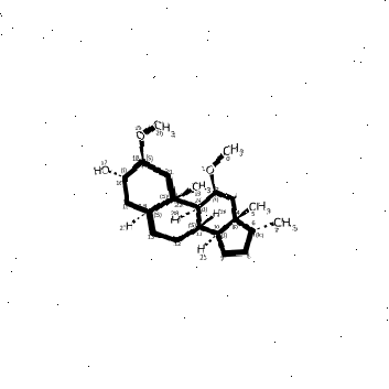 CO[C@H]1C[C@]2(C)[C@H](C)CC[C@H]2[C@@H]2CC[C@H]3C[C@H](O)[C@@H](OC)C[C@]3(C)[C@H]21